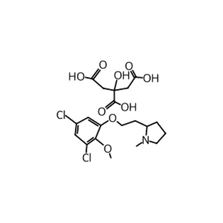 COc1c(Cl)cc(Cl)cc1OCCC1CCCN1C.O=C(O)CC(O)(CC(=O)O)C(=O)O